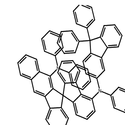 c1ccc(N(c2ccc3c(c2)-c2ccccc2C3(c2ccccc2)c2ccccc2)c2cccc3c2-c2ccccc2C32c3ccccc3-c3cc4ccccc4c(N(c4ccccc4)c4ccccc4)c32)cc1